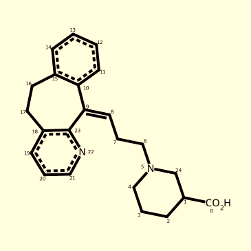 O=C(O)C1CCCN(CCC=C2c3ccccc3CCc3cccnc32)C1